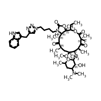 CCC1OC(=O)[C@@](C)(F)C(=O)C(C)[C@@H](OC2OC(C)CC(N(C)C)[C@H]2O)[C@@](C)(OC)C[C@@H](C)C(=O)[C@H](C)[C@H]2N(CCCCn3cc(Cc4c[nH]c5ccccc45)nn3)C(=O)O[C@]12C